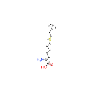 CCCCSCCCCCC(N)C(=O)O